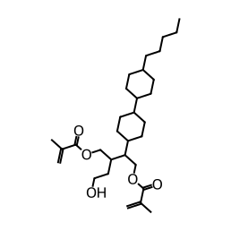 C=C(C)C(=O)OCC(CCO)C(COC(=O)C(=C)C)C1CCC(C2CCC(CCCCC)CC2)CC1